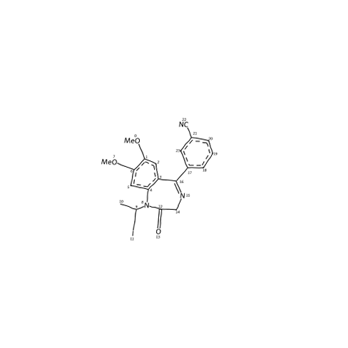 COc1cc2c(cc1OC)N(C(C)I)C(=O)CN=C2c1cccc(C#N)c1